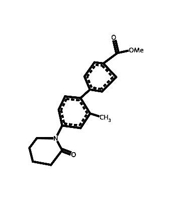 COC(=O)c1ccc(-c2ccc(N3CCCCC3=O)cc2C)cc1